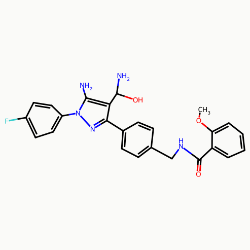 COc1ccccc1C(=O)NCc1ccc(-c2nn(-c3ccc(F)cc3)c(N)c2C(N)O)cc1